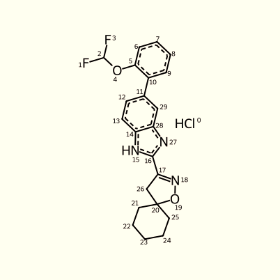 Cl.FC(F)Oc1ccccc1-c1ccc2[nH]c(C3=NOC4(CCCCC4)C3)nc2c1